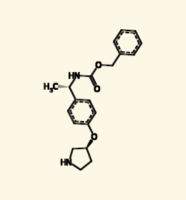 C[C@H](NC(=O)OCc1ccccc1)c1ccc(O[C@H]2CCNC2)cc1